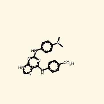 CN(C)c1ccc(Nc2nc(Nc3ccc(C(=O)O)cc3)c3nc[nH]c3n2)cc1